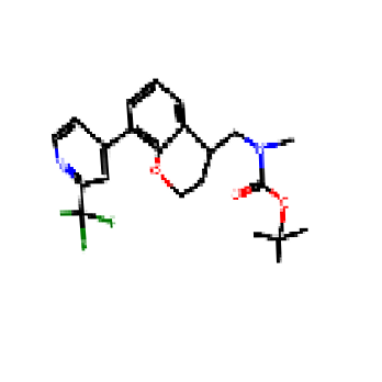 CN(CC1CCOc2c(-c3ccnc(C(F)(F)F)c3)cccc21)C(=O)OC(C)(C)C